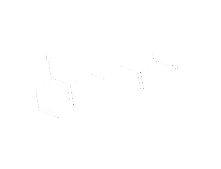 NNC(=O)CCOc1ccccc1F